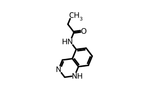 CCC(=O)Nc1cccc2c1C=NCN2